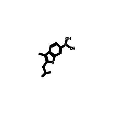 Cc1c(CC(C)C)sc2cc(B(O)O)ccc12